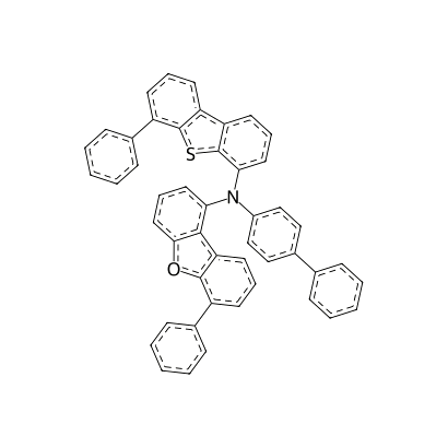 c1ccc(-c2ccc(N(c3cccc4c3sc3c(-c5ccccc5)cccc34)c3cccc4oc5c(-c6ccccc6)cccc5c34)cc2)cc1